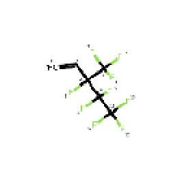 [CH]=CC(F)(C(F)(F)F)C(F)(F)C(F)(F)F